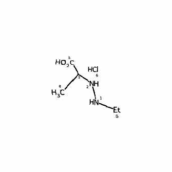 CCNNC(C)C(=O)O.Cl